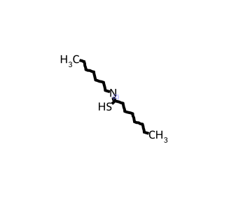 CCCCCCC/N=C(\S)CCCCCCC